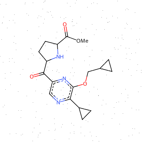 COC(=O)C1CCC(C(=O)c2cnc(C3CC3)c(OCC3CC3)n2)N1